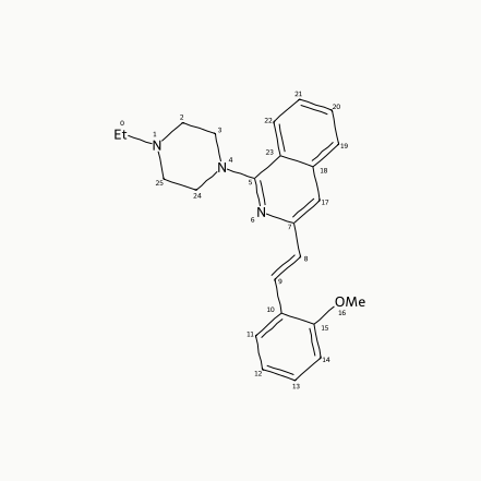 CCN1CCN(c2nc(C=Cc3ccccc3OC)cc3ccccc23)CC1